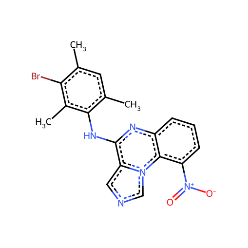 Cc1cc(C)c(Nc2nc3cccc([N+](=O)[O-])c3n3cncc23)c(C)c1Br